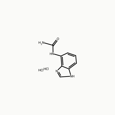 Cl.Cl.NC(=O)Nc1cccc2[nH]cnc12